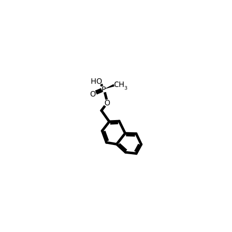 C[P@@](=O)(O)OCc1ccc2ccccc2c1